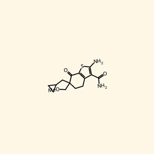 COCC1(CC2CC2)CCc2c(sc(N)c2C(N)=O)C1=O